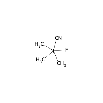 CI(C)(C)(F)C#N